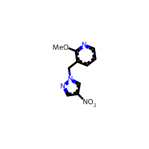 COc1ncccc1Cn1cc([N+](=O)[O-])cn1